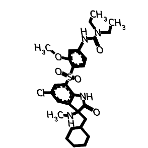 CCN(CC)C(=O)Nc1ccc(S(=O)(=O)c2cc(Cl)cc3c2NC(=O)C3(CC2CCCCC2)NC)c(OC)c1